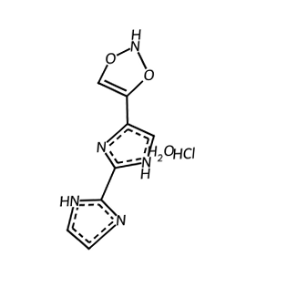 C1=C(c2c[nH]c(-c3ncc[nH]3)n2)ONO1.Cl.O